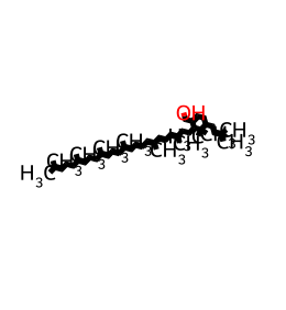 CC(C)=CCC/C(C)=C/CC/C(C)=C/C=C/C(C)=C/C=C/C=C(C)/C=C/C=C(\C)CCC1C(CO)=CCC(CC=C(C)C)C1(C)C